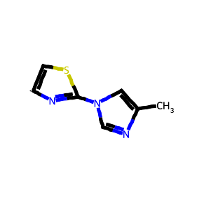 Cc1cn(-c2n[c]cs2)cn1